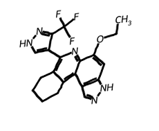 CCOc1cc2[nH]ncc2c2c3c(c(-c4c[nH]nc4C(F)(F)F)nc12)CCCC3